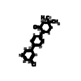 CC1(C)CCN(c2ccc(-c3cncc(Cl)c3)cn2)C(=O)C1